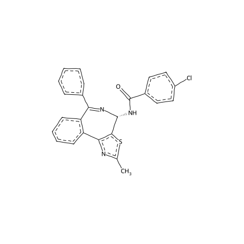 Cc1nc2c(s1)[C@@H](NC(=O)c1ccc(Cl)cc1)N=C(c1ccccc1)c1ccccc1-2